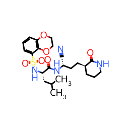 CC(C)C[C@H](NS(=O)(=O)c1cccc2c1OCCO2)C(=O)N[C@H](C#N)CC[C@@H]1CCCNC1=O